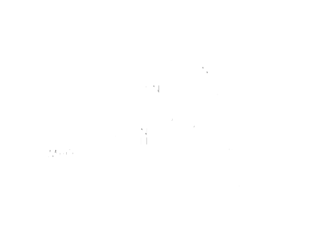 COCCNc1ncnc2ccc(C)cc12